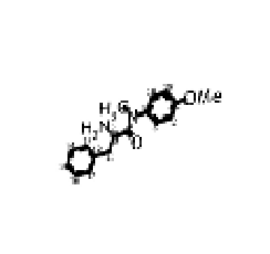 COc1ccc(N(C)C(=O)[C@@H](N)Cc2ccccc2)cc1